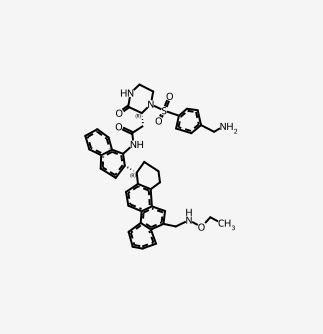 CCONCc1cc2c3c(ccc2c2ccccc12)[C@H](c1ccc2ccccc2c1NC(=O)C[C@@H]1C(=O)NCCN1S(=O)(=O)c1ccc(CN)cc1)CCC3